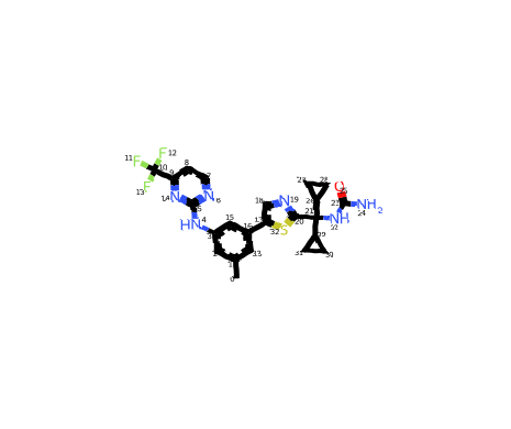 Cc1cc(Nc2nccc(C(F)(F)F)n2)cc(-c2cnc(C(NC(N)=O)(C3CC3)C3CC3)s2)c1